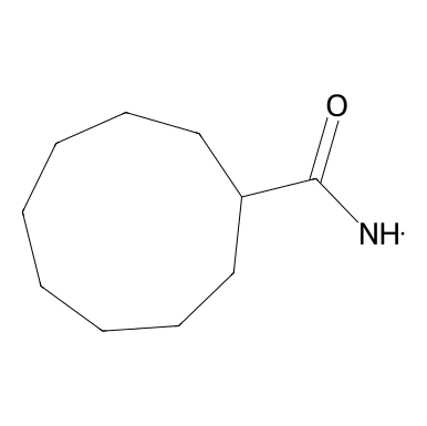 [NH]C(=O)C1CCCCCCCC1